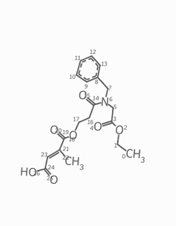 CCOC(=O)CN(Cc1ccccc1)C(=O)CCOC(=O)/C(C)=C/C(=O)O